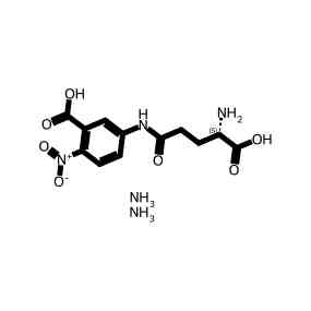 N.N.N[C@@H](CCC(=O)Nc1ccc([N+](=O)[O-])c(C(=O)O)c1)C(=O)O